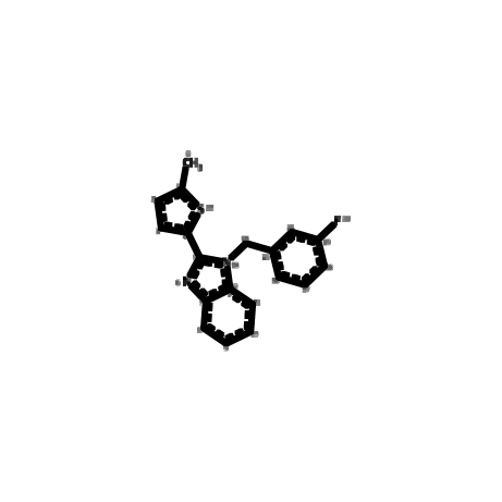 Cc1ccc(-c2nc3ccccc3n2Cc2cccc(F)c2)s1